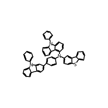 c1ccc(-n2c3ccccc3c3ccc(-c4ccc(N(c5ccc6sc7ccccc7c6c5)c5cccc6c5c5ccccc5n6-c5ccccc5)cc4)cc32)cc1